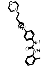 Cc1ccccc1NC(=O)Nc1ccc(-n2c3c(CCN4CCOCC4)n2-3)cc1